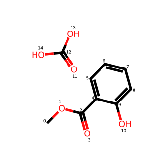 COC(=O)c1ccccc1O.O=C(O)O